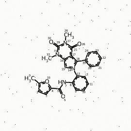 Cc1ccc(C(=O)Nc2ccccc2-n2cc3c(c2-c2ccccc2)c(=O)n(C)c(=O)n3C)o1